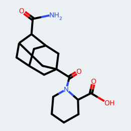 NC(=O)C1C2CC3CC1CC(C(=O)N1CCCCC1C(=O)O)(C3)C2